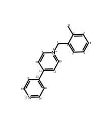 Cc1ccccc1C[n+]1ccc(-c2ccncc2)cc1